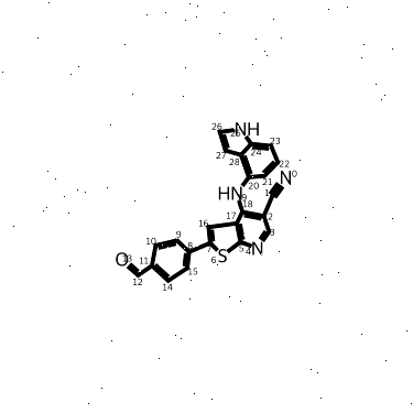 N#Cc1cnc2sc(-c3ccc(C=O)cc3)cc2c1Nc1cccc2[nH]ccc12